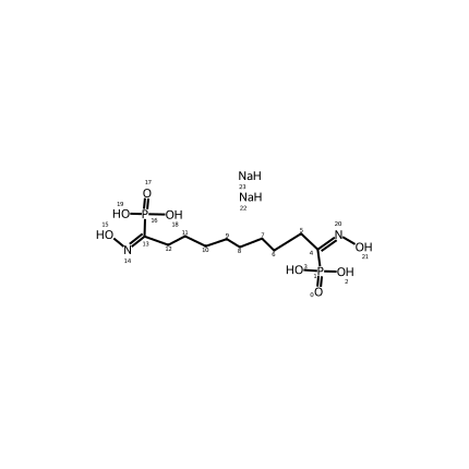 O=P(O)(O)/C(CCCCCCCC/C(=N/O)P(=O)(O)O)=N\O.[NaH].[NaH]